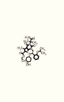 CCOC(=O)c1sc2c(c1C)c(=O)n(C(C)(C)C(N)=O)c(=O)n2C[C@H](O[C@H]1CC[C@H](O)CC1)c1ccccc1OC(C)C